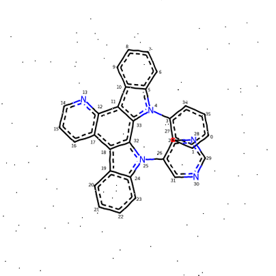 c1ccc(-n2c3ccccc3c3c4ncccc4c4c5ccccc5n(-c5cncnc5)c4c32)cc1